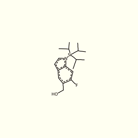 CC(C)[Si](C(C)C)(C(C)C)n1ccc2cc(CO)c(F)cc21